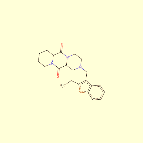 CCc1sc2ccccc2c1CN1CCN2C(=O)C3CCCCN3C(=O)C2C1